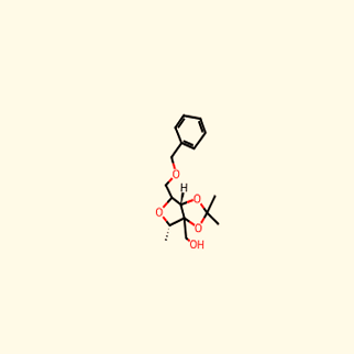 C[C@@H]1OC(COCc2ccccc2)[C@@H]2OC(C)(C)OC12CO